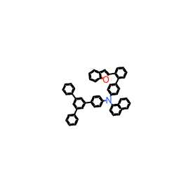 c1ccc(-c2cc(-c3ccccc3)cc(-c3ccc(N(c4ccc(-c5ccccc5-c5cc6ccccc6o5)cc4)c4cccc5ccccc45)cc3)c2)cc1